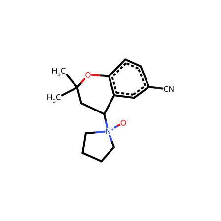 CC1(C)CC([N+]2([O-])CCCC2)c2cc(C#N)ccc2O1